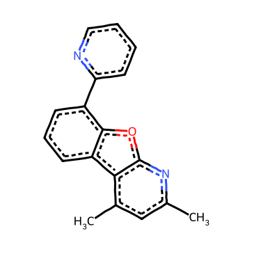 Cc1cc(C)c2c(n1)oc1c(-c3ccccn3)cccc12